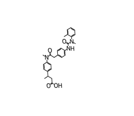 Cc1ccccc1N(C)C(=O)Nc1ccc(CC(=O)N(C)c2ccc(C(C)CC(=O)O)cc2)cc1